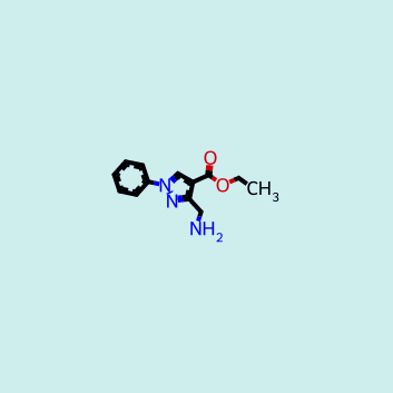 CCOC(=O)c1cn(-c2ccccc2)nc1CN